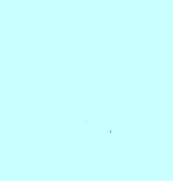 CC(=O)c1ccccc1-c1ccc2c(c1)CN(C(N)=O)c1ccc(Cl)cc1/C=C\2